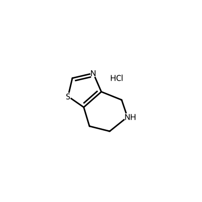 Cl.c1nc2c(s1)CCNC2